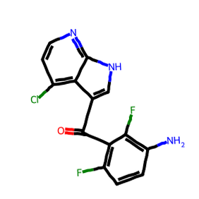 Nc1ccc(F)c(C(=O)c2c[nH]c3nccc(Cl)c23)c1F